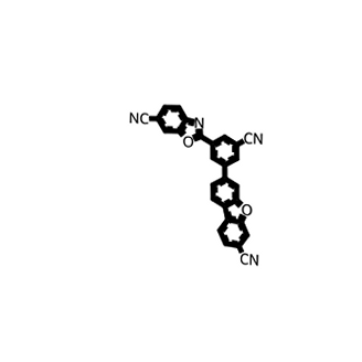 N#Cc1cc(-c2ccc3c(c2)oc2cc(C#N)ccc23)cc(-c2nc3ccc(C#N)cc3o2)c1